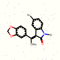 CO/C(=C1\C(=O)N(C(C)=O)c2ccc(C(C)=O)cc21)c1ccc2c(c1)OCO2